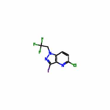 FC(F)(F)Cn1nc(I)c2nc(Cl)ccc21